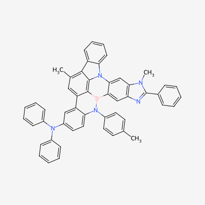 Cc1ccc(N2B3c4cc5nc(-c6ccccc6)n(C)c5cc4-n4c5ccccc5c5c(C)cc(c3c54)-c3cc(N(c4ccccc4)c4ccccc4)ccc32)cc1